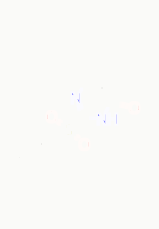 O=c1[nH]c(S(=O)(=O)c2ccccc2)nc2c1CCCC2